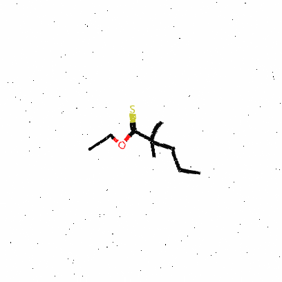 CCCC(C)(C)C(=S)OCC